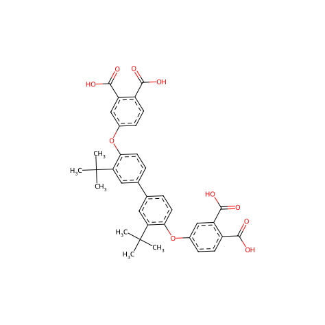 CC(C)(C)c1cc(-c2ccc(Oc3ccc(C(=O)O)c(C(=O)O)c3)c(C(C)(C)C)c2)ccc1Oc1ccc(C(=O)O)c(C(=O)O)c1